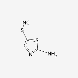 [C-]#[N+]Sc1cnc(N)s1